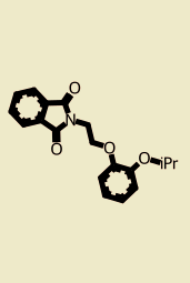 CC(C)Oc1ccccc1OCCN1C(=O)c2ccccc2C1=O